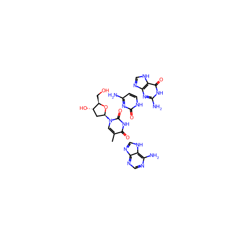 Cc1cn([C@H]2C[C@H](O)[C@@H](CO)O2)c(=O)[nH]c1=O.Nc1cc[nH]c(=O)n1.Nc1nc2nc[nH]c2c(=O)[nH]1.Nc1ncnc2nc[nH]c12